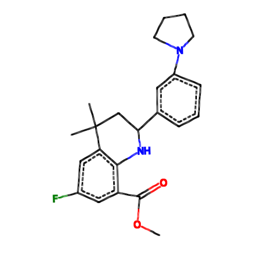 COC(=O)c1cc(F)cc2c1NC(c1cccc(N3CCCC3)c1)CC2(C)C